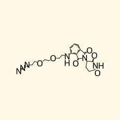 [N-]=[N+]=NCCOCCOCCNc1cccc2c1C(=O)N(C1CCC(=O)NC1=O)C2=O